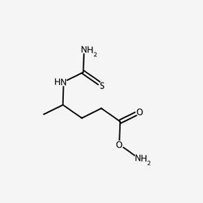 CC(CCC(=O)ON)NC(N)=S